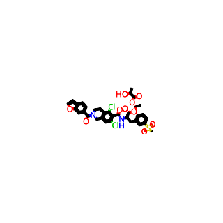 CC(OC(=O)C(C)O)OC(=O)C(Cc1cccc(S(C)(=O)=O)c1)NC(=O)c1c(Cl)cc2c(c1Cl)CCN(C(=O)c1ccc3ccoc3c1)C2